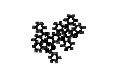 c1ccc(-c2nc(-c3ccccc3)nc(-c3cc(-n4c5ccccc5c5c6oc7ccccc7c6c6c(c7ccccc7n6-c6ccccc6)c54)ccc3-c3nc(-c4ccccc4)c4ccccc4n3)n2)cc1